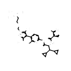 Cc1nocc1C(=O)N[C@H](C(=O)Nc1ccc(-c2c(C)nn(COCC[Si](C)(C)C)c2C)c(Cl)n1)C(C1CC1)C1CC1